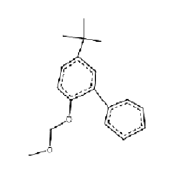 COCOc1ccc(C(C)(C)C)cc1-c1ccccc1